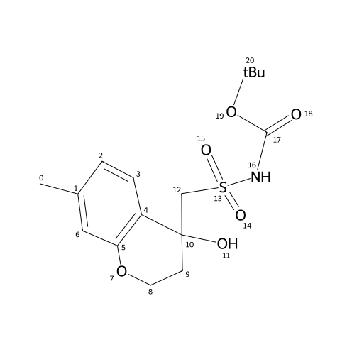 Cc1ccc2c(c1)OCCC2(O)CS(=O)(=O)NC(=O)OC(C)(C)C